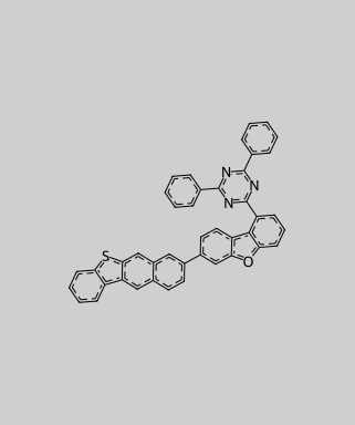 c1ccc(-c2nc(-c3ccccc3)nc(-c3cccc4oc5cc(-c6ccc7cc8c(cc7c6)sc6ccccc68)ccc5c34)n2)cc1